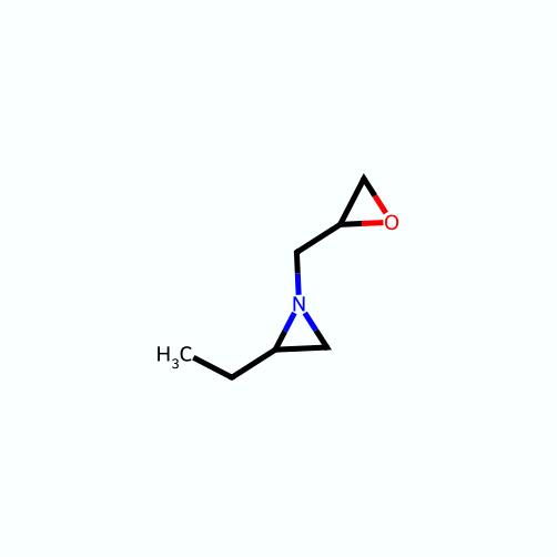 CCC1CN1CC1CO1